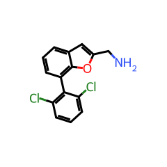 NCc1cc2cccc(-c3c(Cl)cccc3Cl)c2o1